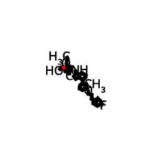 CCOc1cc(NC2CCc3c(-c4cccc(OCCCN5CCC(F)CC5)c4C)cccc32)c(Cl)cc1CO